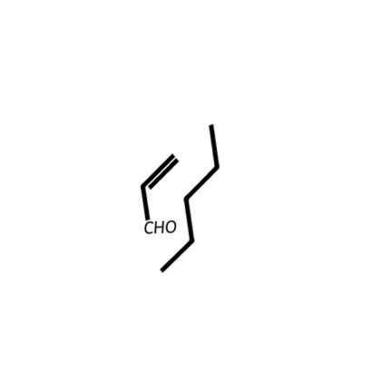 C=CC=O.CCCCC